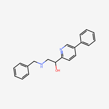 OC(CNCc1ccccc1)c1ccc(-c2ccccc2)cn1